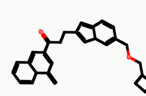 C=C1C=C(C(=O)CCC2=CC3C=C(COCC4CCC4)C=CC3=C2)C=C2C=CC=CC12